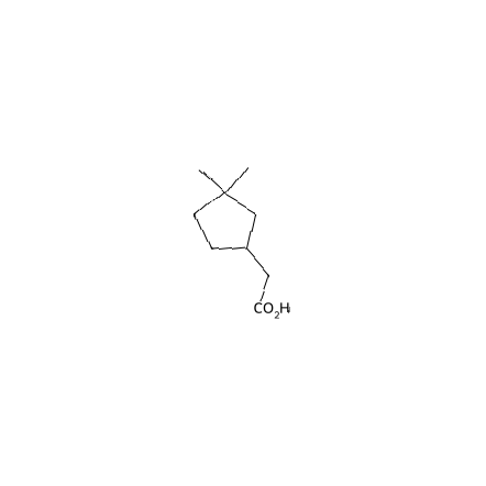 CC1(C)CCC(CC(=O)O)C1